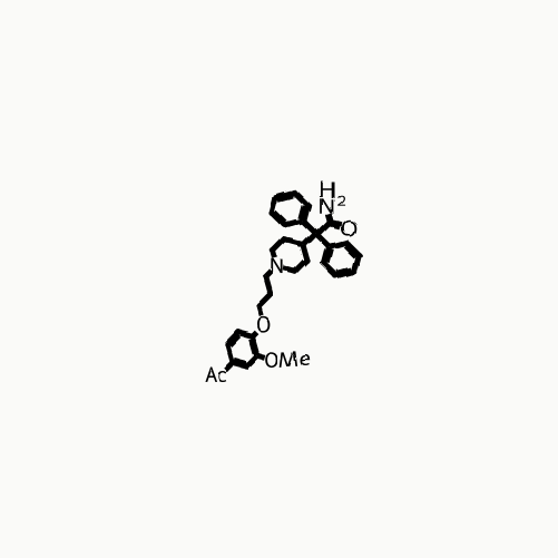 COc1cc(C(C)=O)ccc1OCCCN1CCC(C(C(N)=O)(c2ccccc2)c2ccccc2)CC1